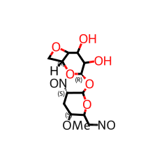 CO[C@H]1C[C@H](N=O)C(O[C@H]2O[C@@H]3COC3C(O)C2O)OC1CN=O